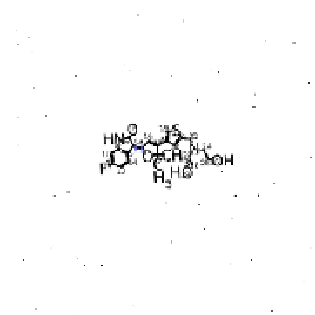 CC1(C)O/C(=C2/C(=O)Nc3cc(F)ccc32)C=C1c1csc(CN(CCO)CCO)c1